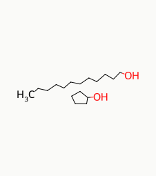 CCCCCCCCCCCCO.OC1CCCC1